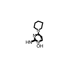 N=c1nc(N2CCCCC2)ccn1O